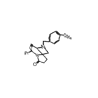 C#CC1N(Cc2ccc(OC)cc2)CC12CCC(=O)N2C(=O)C(C)C